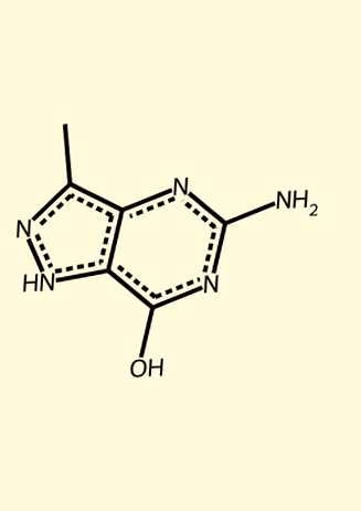 Cc1n[nH]c2c(O)nc(N)nc12